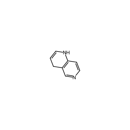 C1=CNc2ccncc2C1